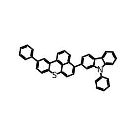 c1ccc(-c2ccc3c(c2)-c2cccc4c(-c5ccc6c7ccccc7n(-c7ccccc7)c6c5)ccc(c24)S3)cc1